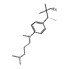 CCC(C)(C)[C@H](C)c1ccc(N(C)CCCN(C)C)cc1